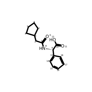 O=C(CC1CCCC1)N[C@H](C(=O)O)c1ccccc1